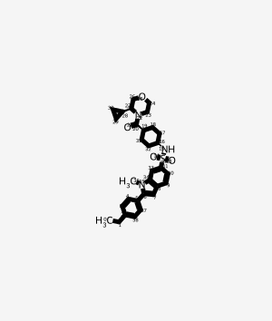 CCc1ccc(-c2cc3ccc(S(=O)(=O)N[C@H]4CC[C@H](C(=O)N5CCOC[C@@H]5C5CC5)CC4)cc3n2C)cc1